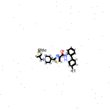 CCc1ccc(-c2ccccc2NC(=O)c2csc(C3CCN(CC(C)(C)SSC)CC3)n2)cc1